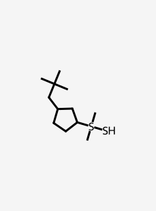 CC(C)(C)CC1CCC(S(C)(C)S)C1